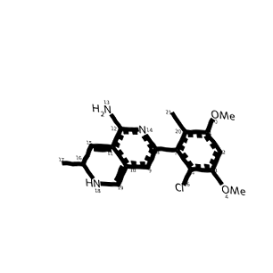 COc1cc(OC)c(Cl)c(-c2cc3c(c(N)n2)=CC(C)NC=3)c1C